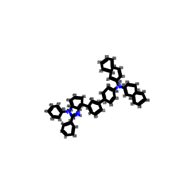 c1ccc(-c2nc3c(-c4cccc(-c5ccc(N(c6ccc7ccccc7c6)c6ccc7ccccc7c6)cc5)c4)cccc3n2-c2ccccc2)cc1